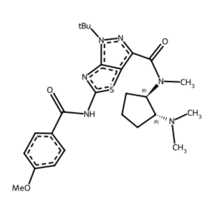 COc1ccc(C(=O)Nc2nc3c(s2)c(C(=O)N(C)[C@@H]2CCC[C@H]2N(C)C)nn3C(C)(C)C)cc1